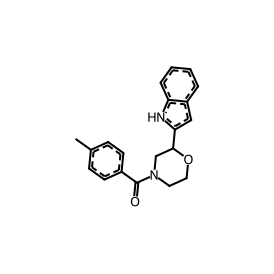 Cc1ccc(C(=O)N2CCOC(c3cc4ccccc4[nH]3)C2)cc1